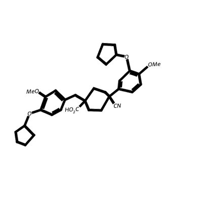 COc1cc(CC2(C(=O)O)CCC(C#N)(c3ccc(OC)c(OC4CCCC4)c3)CC2)ccc1OC1CCCC1